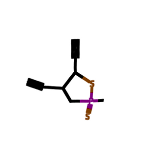 C#CC1CP(C)(=S)SC1C#C